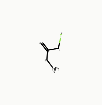 C=C(CF)CCCC